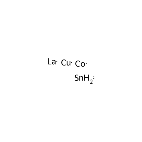 [Co].[Cu].[La].[SnH2]